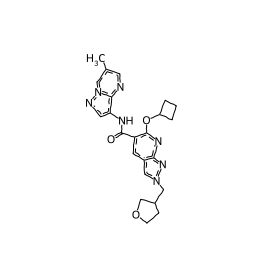 Cc1cnc2c(NC(=O)c3cc4cn(CC5CCOC5)nc4nc3OC3CCC3)cnn2c1